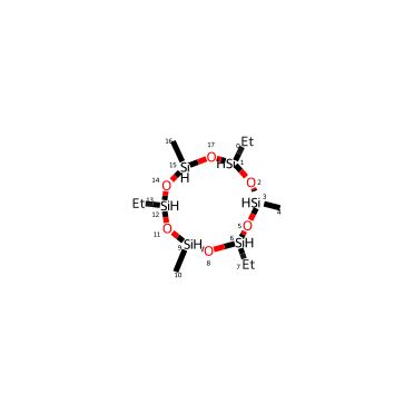 CC[SiH]1O[SiH](C)O[SiH](CC)O[SiH](C)O[SiH](CC)O[SiH](C)O1